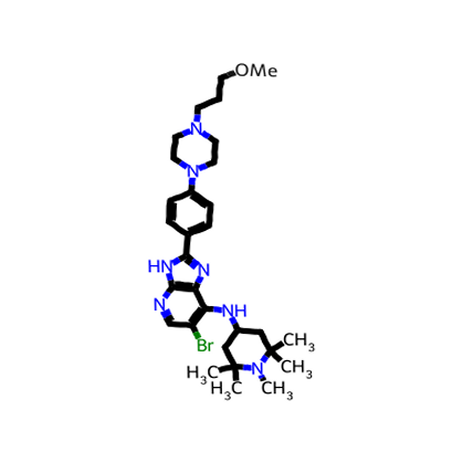 COCCCN1CCN(c2ccc(-c3nc4c(NC5CC(C)(C)N(C)C(C)(C)C5)c(Br)cnc4[nH]3)cc2)CC1